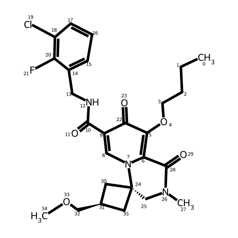 CCCCOc1c2n(cc(C(=O)NCc3cccc(Cl)c3F)c1=O)[C@]1(CN(C)C2=O)C[C@H](COC)C1